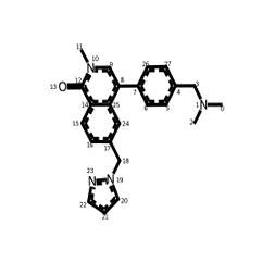 CN(C)Cc1ccc(-c2cn(C)c(=O)c3ccc(Cn4cccn4)cc23)cc1